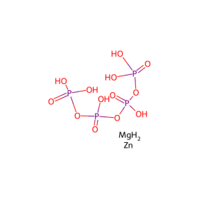 O=P(O)(O)OP(=O)(O)OP(=O)(O)OP(=O)(O)O.[MgH2].[Zn]